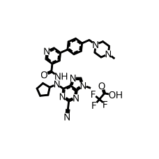 CN1CCN(Cc2ccc(-c3cncc(C(=O)NN(c4nc(C#N)nc5c4ncn5C)C4CCCC4)c3)cc2)CC1.O=C(O)C(F)(F)F